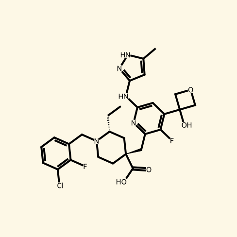 CC[C@@H]1C[C@](Cc2nc(Nc3cc(C)[nH]n3)cc(C3(O)COC3)c2F)(C(=O)O)CCN1Cc1cccc(Cl)c1F